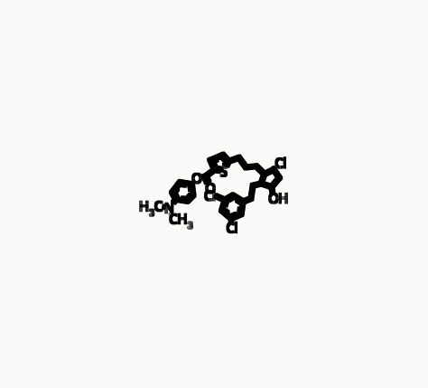 CN(C)c1ccc(OC(=O)c2ccc(CCCC3C(Cl)CC(O)C3CCc3cc(Cl)cc(Cl)c3)s2)cc1